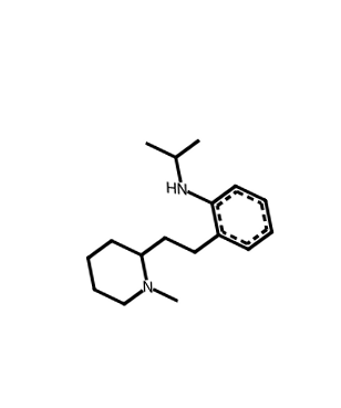 CC(C)Nc1ccccc1CCC1CCCCN1C